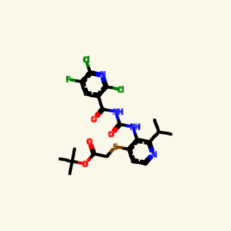 CC(C)c1nccc(SCC(=O)OC(C)(C)C)c1NC(=O)NC(=O)c1cc(F)c(Cl)nc1Cl